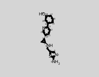 Nc1ncc(CN[C@H]2C[C@@H]2c2ccc(-c3cccc(O)c3)nc2)s1